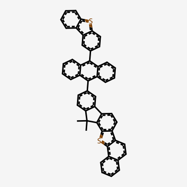 CC1(C)c2ccc(-c3c4ccccc4c(-c4ccc5sc6ccccc6c5c4)c4ccccc34)cc2-c2ccc3c(sc4c5ccccc5ccc34)c21